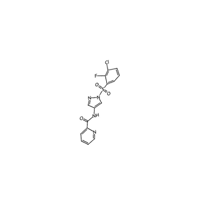 O=C(Nc1cnn(S(=O)(=O)c2cccc(Cl)c2F)c1)c1ccccn1